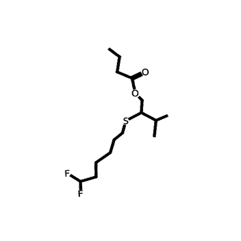 CCCC(=O)OCC(SCCCCCC(F)F)C(C)C